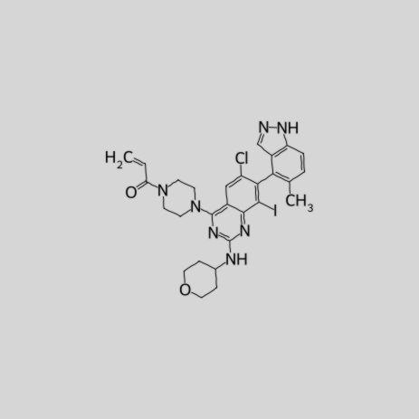 C=CC(=O)N1CCN(c2nc(NC3CCOCC3)nc3c(I)c(-c4c(C)ccc5[nH]ncc45)c(Cl)cc23)CC1